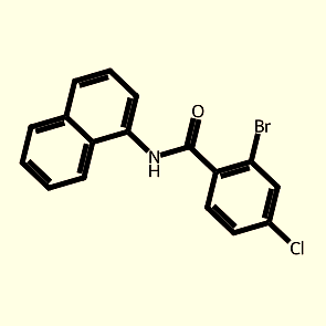 O=C(Nc1cccc2ccccc12)c1ccc(Cl)cc1Br